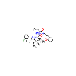 CCCOc1ccccc1CCCNC(=O)[C@H](CC1CC1)NC(=O)[C@H](NC(=C(C)C)[C@H](C)Cc1cccc(F)c1)C(C)C